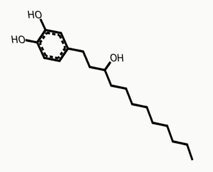 CCCCCCCCCC(O)CCc1ccc(O)c(O)c1